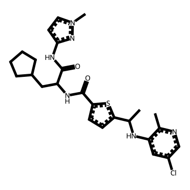 Cc1ncc(Cl)cc1NC(C)c1ccc(C(=O)NC(CC2CCCC2)C(=O)Nc2ccn(C)n2)s1